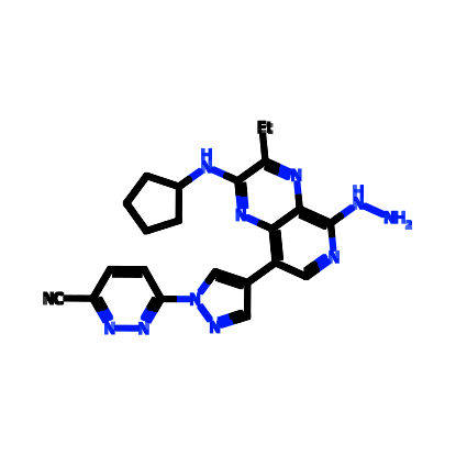 CCc1nc2c(NN)ncc(-c3cnn(-c4ccc(C#N)nn4)c3)c2nc1NC1CCCC1